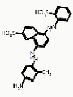 Cc1cc(N)ccc1/N=N/c1ccc(/N=N/c2ccccc2S(=O)(=O)O)c2ccc(S(=O)(=O)O)cc12